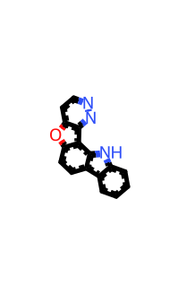 c1ccc2c(c1)[nH]c1c2ccc2oc3ccnnc3c21